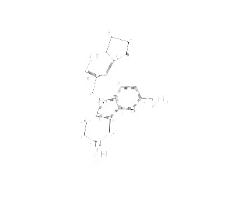 CC/C=C(\C=C1CCCC1)Cn1c2c(c3cc(C)ccc31)CN(C)CC2